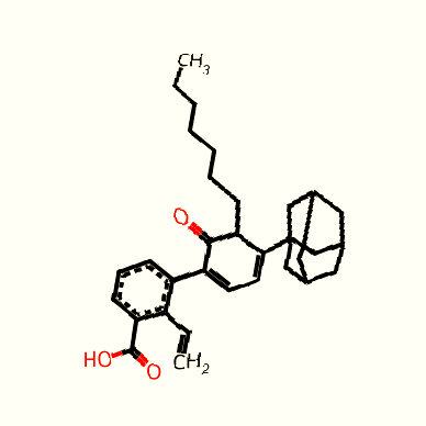 C=Cc1c(C(=O)O)cccc1C1=CC=C(C23CC4CC(CC(C4)C2)C3)C(CCCCCCC)C1=O